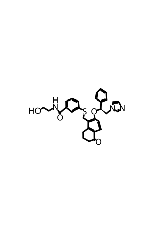 O=C(NCCO)c1cccc(SCc2c(O[C@H](Cn3ccnc3)c3ccccc3)ccc3c2CCCC3=O)c1